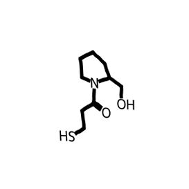 O=C(CCS)N1CCCCC1CO